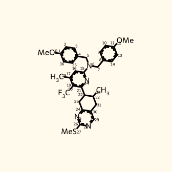 COc1ccc(CN(Cc2ccc(OC)cc2)c2cc(C)c(C(F)(F)F)c(C3Cc4nc(SC)ncc4CC3C)n2)cc1